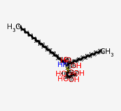 CCCCCCCCCCCCCCCCCCCCCCCCCC(=O)N[C@@H](CS[C@H]1OC(CO)[C@H](O)[C@H](O)C1O)[C@H](O)[C@@H](O)CCCCCCCCCCCCCC